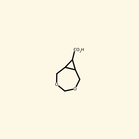 O=C(O)C1C2COCOCC21